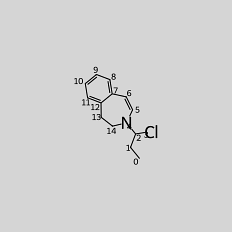 CCC(Cl)N1C=Cc2ccccc2CC1